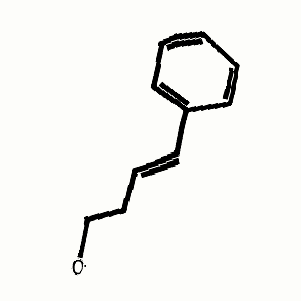 [O]CC/C=C/c1ccccc1